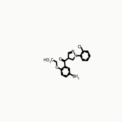 Bc1ccc(OCC(=O)O)c(C(=O)C2C=NN(c3ccccc3Cl)C2)c1